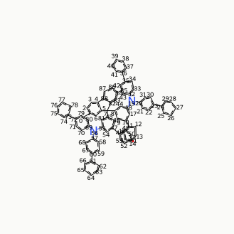 Cc1ccc2c(c1)C(c1cc(-c3ccccc3)cc(N(c3ccc(-c4ccccc4)cc3)c3ccc(-c4ccccc4)cc3)c1)(c1cc(-c3ccccc3)cc(N(c3ccc(-c4ccccc4)cc3)c3ccc(-c4ccccc4)cc3)c1)c1cc(C)ccc1-2